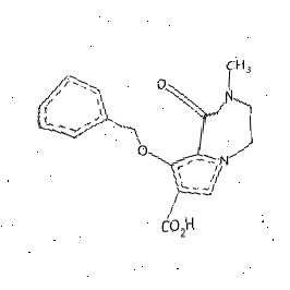 CN1CCn2cc(C(=O)O)c(OCc3ccccc3)c2C1=O